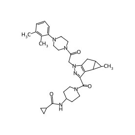 Cc1cccc(N2CCN(C(=O)Cn3nc(C(=O)N4CCC(NC(=O)C5CC5)CC4)c4c3CC3C(C)C43)CC2)c1C